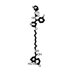 O=C(NC(c1cccc(F)c1)c1cncc(OCCCCCCCCCNC[C@@H](O)c2ccc(O)c3[nH]c(=O)ccc23)c1)O[C@H]1CN2CCC1CC2